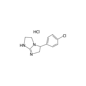 Cl.Clc1ccc(C2CN=C3NCCN32)cc1